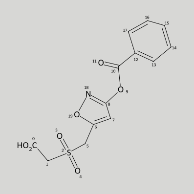 O=C(O)CS(=O)(=O)Cc1cc(OC(=O)c2ccccc2)no1